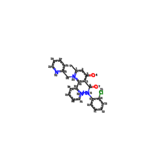 Cc1cc(=O)c(C(=O)Nc2ccccc2Cl)c(-c2ccccn2)n1Cc1ccccn1